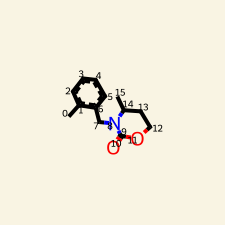 Cc1ccccc1CN1C(=O)OCCC1C